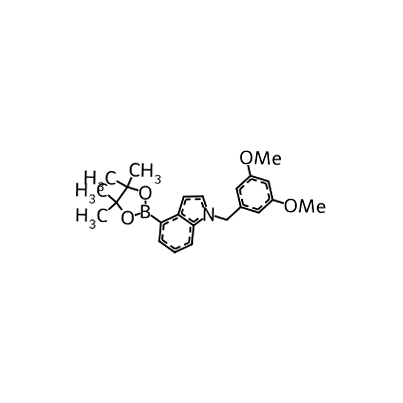 COc1cc(Cn2ccc3c(B4OC(C)(C)C(C)(C)O4)cccc32)cc(OC)c1